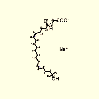 CC(C)(O)CCC/C=C\CCCCCCC/C=C\CCCC(=O)NCC(=O)[O-].[Na+]